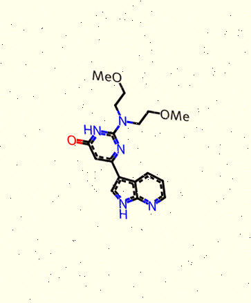 COCCN(CCOC)c1nc(-c2c[nH]c3ncccc23)cc(=O)[nH]1